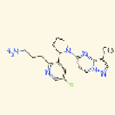 NCCCc1ncc(F)cc1[C@H]1CCCN1c1ccn2ncc(C(=O)O)c2n1